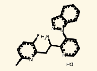 Cc1ccc(F)c(CC(N)c2ncccc2-n2ncc3ccccc32)n1.Cl